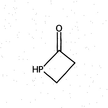 O=C1CCP1